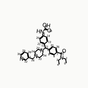 CCN(CC)C(=O)c1ccc(C(c2ccc(NC(=O)O)cc2)N2CCN(Cc3cccnc3)CC2)cc1